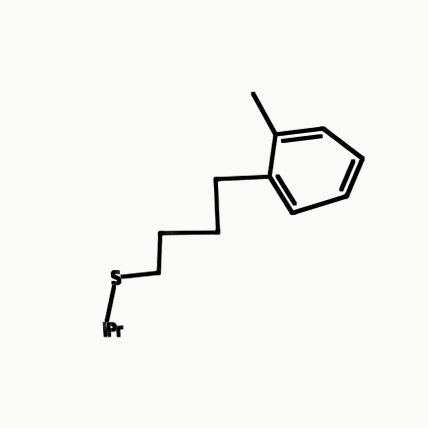 Cc1ccccc1CCCCSC(C)C